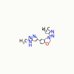 Cc1nc2ncc(-c3ccc4c(c3)CN(c3ncnc(C)c3CC3CC3)CCO4)cc2[nH]1